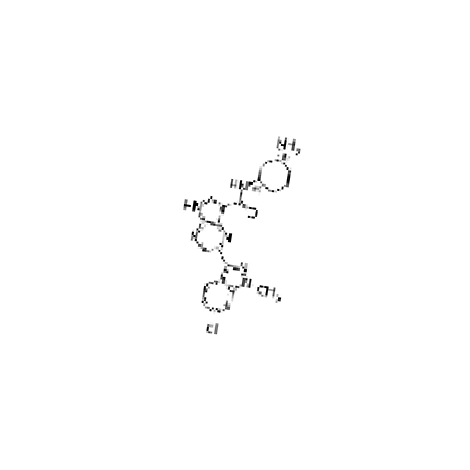 Cn1nc(-c2cnc3[nH]cc(C(=O)N[C@@H]4CCC[C@@H](N)C4)c3n2)c2ccc(Cl)cc21